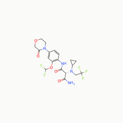 NC(=O)[C@H](C(=O)Nc1ccc(N2CCOCC2=O)cc1OC(F)F)N(CC(F)(F)F)C1CC1